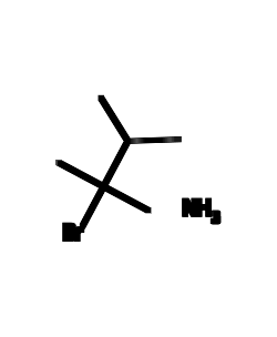 CC(C)C(C)(C)Br.N